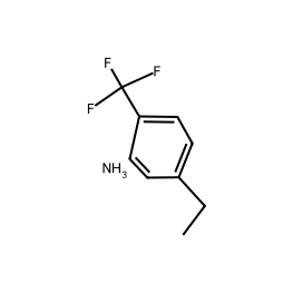 CCc1ccc(C(F)(F)F)cc1.N